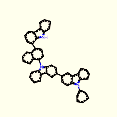 c1ccc(-n2c3ccccc3c3cc(-c4ccc5c(c4)c4ccccc4n5-c4ccc(-c5cccc6c5[nH]c5ccccc56)c5ccccc45)ccc32)cc1